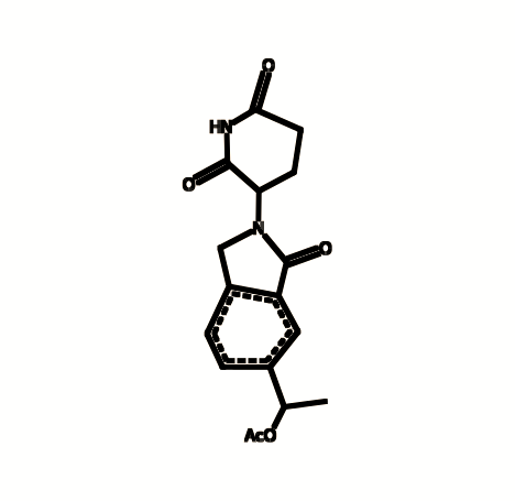 CC(=O)OC(C)c1ccc2c(c1)C(=O)N(C1CCC(=O)NC1=O)C2